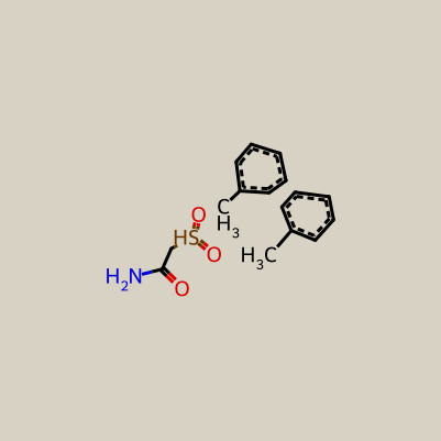 Cc1ccccc1.Cc1ccccc1.NC(=O)C[SH](=O)=O